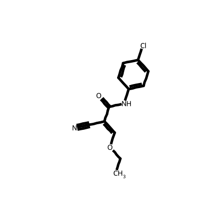 CCOC=C(C#N)C(=O)Nc1ccc(Cl)cc1